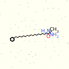 CCC(N)(N)C(=O)CCCCCCCCCCCCCCCCCc1ccccc1